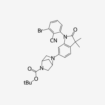 CC(C)(C)OC(=O)N1CC2CC1CN2c1ccc2c(c1)N(c1cccc(Br)c1C#N)C(=O)C2(C)C